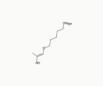 CCCCCCCCCCCCO/C=C(\C)CCC